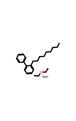 CCCCCCCCCc1ccccc1-c1ccccc1.CCOCC.[NaH]